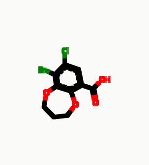 O=C(O)c1cc(Cl)c(Br)c2c1OCCCO2